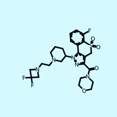 O=C(c1nn(C2CCCN(CCN3CC(F)(F)C3)C2)c2c1CS(=O)(=O)c1c(F)cccc1-2)N1CCOCC1